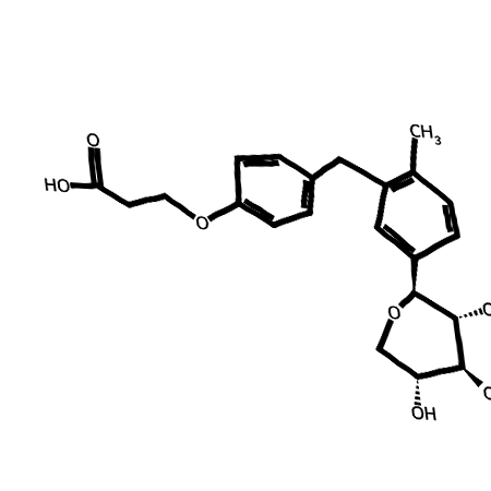 Cc1ccc([C@@H]2OC[C@@H](O)[C@H](O)[C@H]2O)cc1Cc1ccc(OCCC(=O)O)cc1